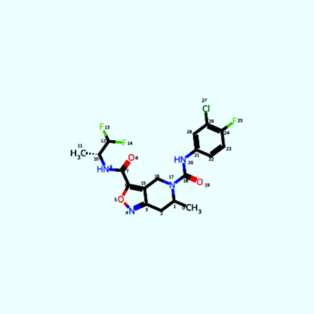 CC1Cc2noc(C(=O)N[C@H](C)C(F)F)c2CN1C(=O)Nc1ccc(F)c(Cl)c1